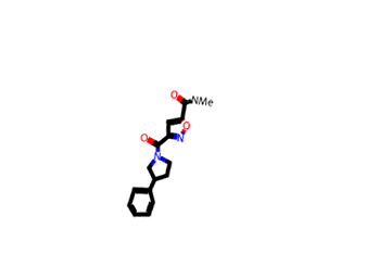 CNC(=O)c1cc(C(=O)N2CCC(c3ccccc3)C2)no1